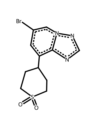 O=S1(=O)CCC(c2cc(Br)cn3ncnc23)CC1